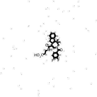 CC1(C)CN(C(=O)c2ccc(F)c(F)c2)C=C(C(=O)NCCC(=O)O)C2=C1c1ccccc1C2